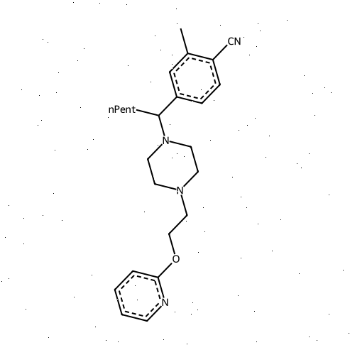 CCCCCC(c1ccc(C#N)c(C)c1)N1CCN(CCOc2ccccn2)CC1